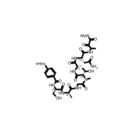 CCCCCCc1ccc(C(=O)N[C@H](CO)C(=O)N[C@H](C)C(=O)NCC(=O)N(C)[C@H](C(=O)N[C@@H](C)C(=O)N[C@@H](CC(N)=O)C(=O)NC(C)C(=O)C(=O)NC)C(C)O)cc1